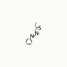 CCC(=S)CN(C)C=Nc1ccccc1